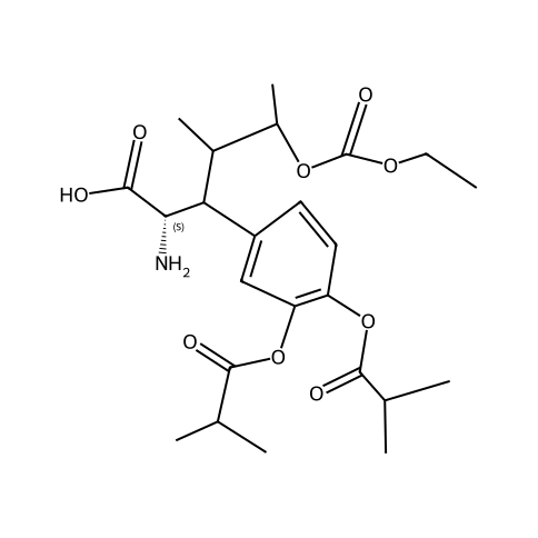 CCOC(=O)OC(C)C(C)C(c1ccc(OC(=O)C(C)C)c(OC(=O)C(C)C)c1)[C@H](N)C(=O)O